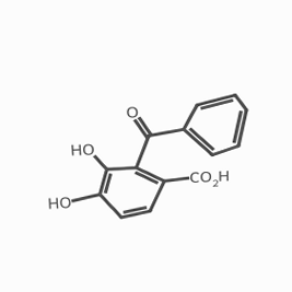 O=C(O)c1ccc(O)c(O)c1C(=O)c1ccccc1